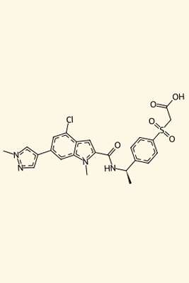 C[C@@H](NC(=O)c1cc2c(Cl)cc(-c3cnn(C)c3)cc2n1C)c1ccc(S(=O)(=O)CC(=O)O)cc1